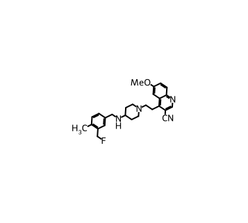 COc1ccc2ncc(C#N)c(CCN3CCC(NCc4ccc(C)c(CF)c4)CC3)c2c1